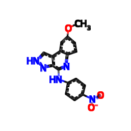 COc1ccc2nc(Nc3ccc([N+](=O)[O-])cc3)c3n[nH]cc3c2c1